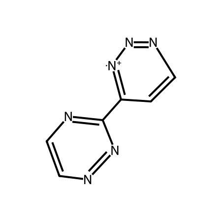 C1=CC(c2nccnn2)=[N+]N=N1